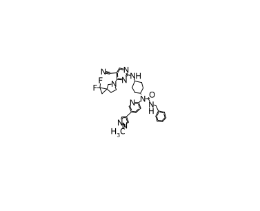 Cn1cc(-c2ccc(N(C(=O)NCc3ccccc3)[C@H]3CC[C@H](Nc4ncc(C#N)c(N5CCC6(C5)CC6(F)F)n4)CC3)nc2)cn1